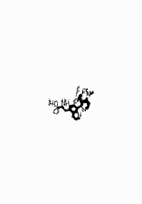 CN(C)c1ccnc(-c2ccc(CC(N)C(=O)O)c3cccnc23)c1C(F)(F)F